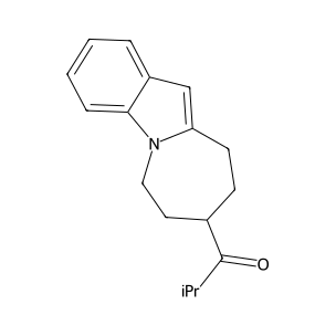 CC(C)C(=O)C1CCc2cc3ccccc3n2CC1